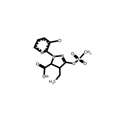 CCC1C(OS(C)(=O)=O)=NN(c2ncccc2Cl)C1C(=O)O